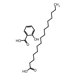 CCCCCCCCCCCCCCCC(=O)O.O=C(O)c1ccccc1O